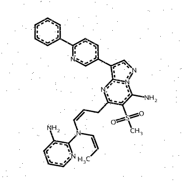 C/C=C\N(/C=C\Cc1nc2c(-c3ccc(-c4ccccc4)nc3)cnn2c(N)c1S(C)(=O)=O)c1ncccc1N